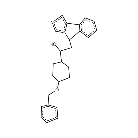 OC(CC1c2ccccc2-c2cncn21)C1CCC(OCc2ccccc2)CC1